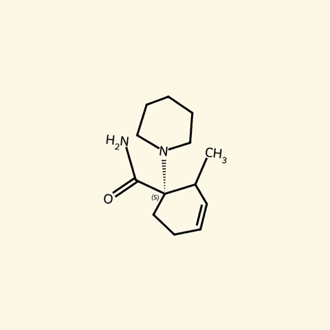 CC1C=CCC[C@]1(C(N)=O)N1CCCCC1